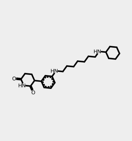 O=C1CCC(c2cccc(NCCCCCCCNC3CCCCC3)c2)C(=O)N1